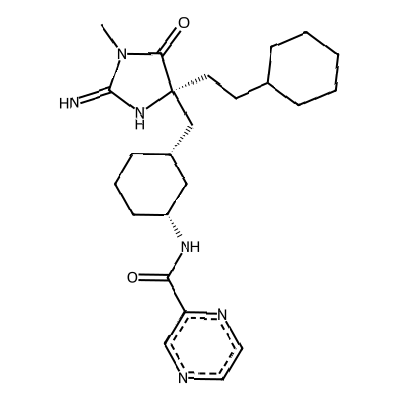 CN1C(=N)N[C@](CCC2CCCCC2)(C[C@H]2CCC[C@@H](NC(=O)c3cnccn3)C2)C1=O